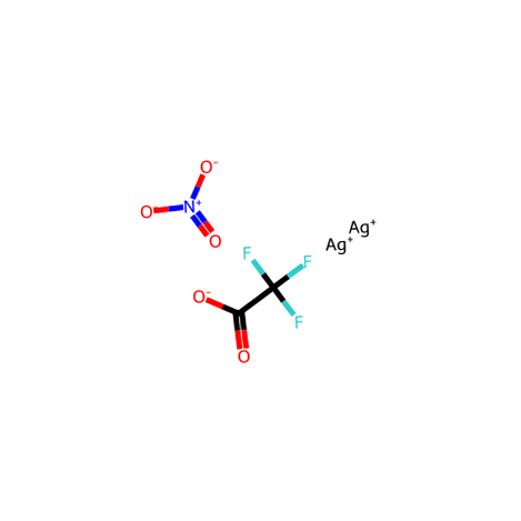 O=C([O-])C(F)(F)F.O=[N+]([O-])[O-].[Ag+].[Ag+]